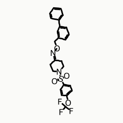 O=S(=O)(c1ccc(OC(F)(F)F)cc1)N1CCC(=NOCc2cccc(-c3ccccc3)c2)CC1